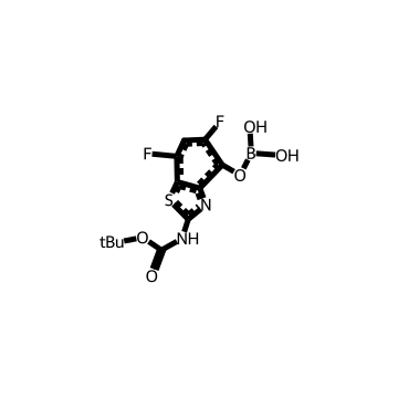 CC(C)(C)OC(=O)Nc1nc2c(OB(O)O)c(F)cc(F)c2s1